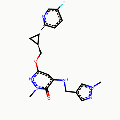 Cn1cc(CNc2cc(OC[C@H]3C[C@@H]3c3ccc(F)cn3)nn(C)c2=O)cn1